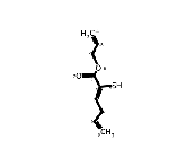 C=CCC=C(S)C(=O)OCC=C